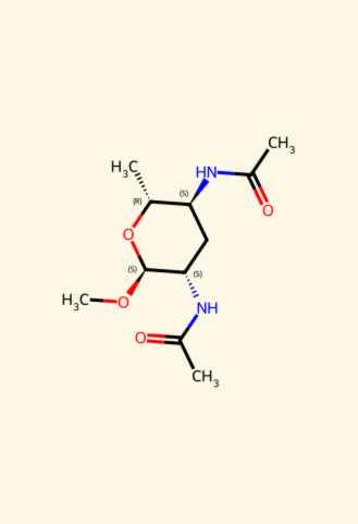 CO[C@H]1O[C@H](C)[C@@H](NC(C)=O)C[C@@H]1NC(C)=O